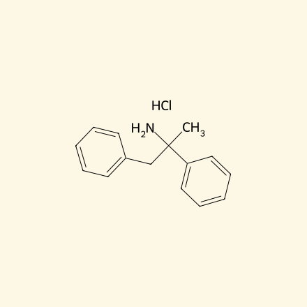 CC(N)(Cc1ccccc1)c1ccccc1.Cl